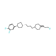 FCCC[SiH]1CCC(CCCC[C@H]2CC[C@H](c3ccc(F)c(F)c3)CC2)CC1